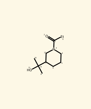 CCC(=O)N1CCCC(C(C)(C)O)C1